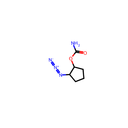 [N-]=[N+]=NC1CCCC1OC(N)=O